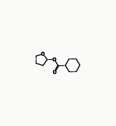 O=C(OC1CCCO1)C1CCCCC1